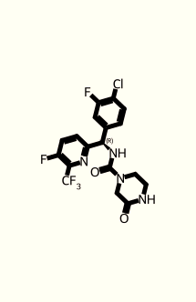 O=C1CN(C(=O)N[C@H](c2ccc(Cl)c(F)c2)c2ccc(F)c(C(F)(F)F)n2)CCN1